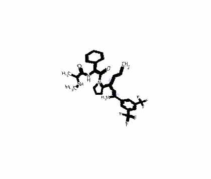 C=C/C=C(\C=C(/N)c1cc(C(F)(F)F)cc(C(F)(F)F)c1)C1CCCN1C(=O)C(NC(=O)C(C)NC)C1CCCCC1